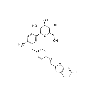 Cc1ccc([C@@H]2O[C@H](CO)[C@@H](O)[C@H](O)[C@H]2O)cc1Cc1ccc(OCC2Cc3ccc(F)cc3O2)cc1